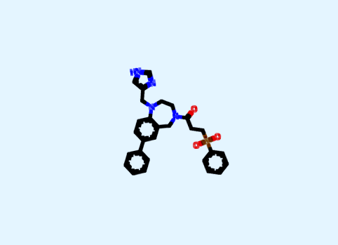 O=C(CCS(=O)(=O)c1ccccc1)N1CCN(Cc2c[nH]cn2)c2ccc(-c3ccccc3)cc2C1